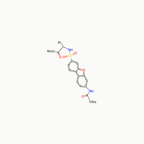 COC(=O)Nc1ccc2c(c1)oc1cc(S(=O)(=O)NC(C(=O)OC)C(C)C)ccc12